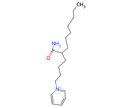 CCCCCCCC(CCCC[n+]1ccccc1)C(N)=O